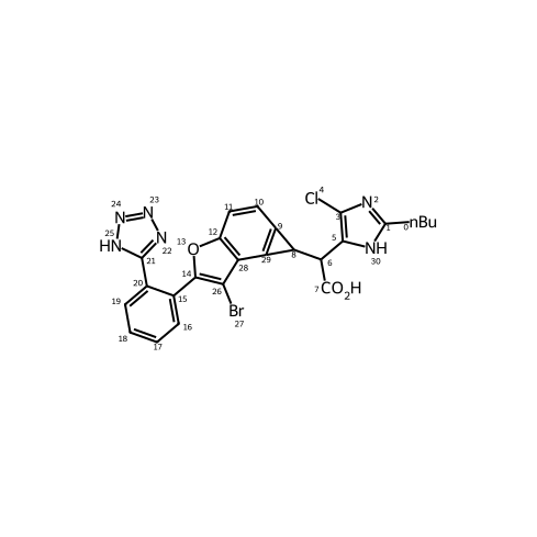 CCCCc1nc(Cl)c(C(C(=O)O)C2c3ccc4oc(-c5ccccc5-c5nnn[nH]5)c(Br)c4c32)[nH]1